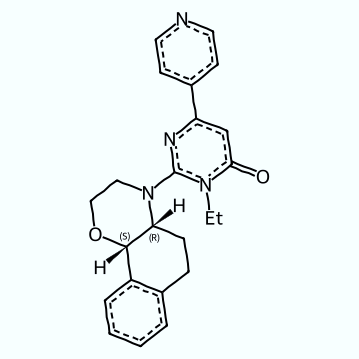 CCn1c(N2CCO[C@H]3c4ccccc4CC[C@H]32)nc(-c2ccncc2)cc1=O